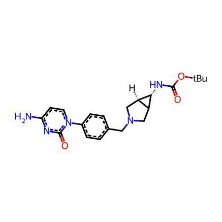 CC(C)(C)OC(=O)N[C@@H]1C2CN(Cc3ccc(-n4ccc(N)nc4=O)cc3)C[C@H]21